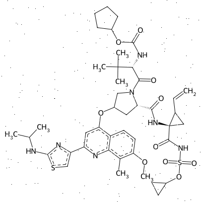 C=CC1C[C@]1(NC(=O)[C@@H]1CC(Oc2cc(-c3csc(NC(C)C)n3)nc3c(C)c(OC)ccc23)CN1C(=O)[C@@H](NC(=O)OC1CCCC1)C(C)(C)C)C(=O)NS(=O)(=O)OC1CC1